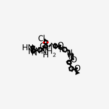 NC1(C(=O)N[C@@H](CCN2CCN(C(=O)CN3CCC(CN4CCN(C(=O)c5cccc(C6CCCN(C(=O)C7CC7)C6)c5)CC4)CC3)CC2)c2ccc(Cl)cc2)CCN(c2ncnc3[nH]ccc23)CC1